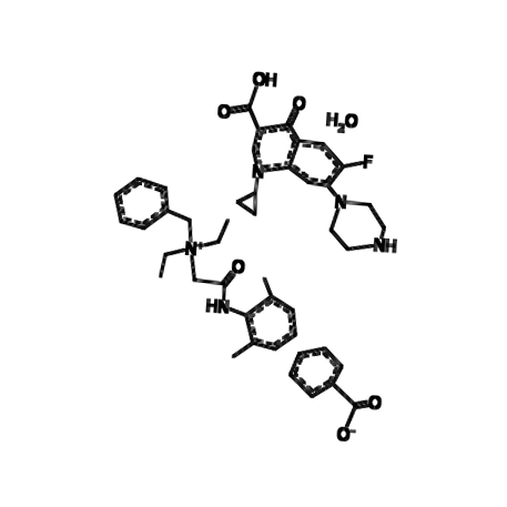 CC[N+](CC)(CC(=O)Nc1c(C)cccc1C)Cc1ccccc1.O.O=C(O)c1cn(C2CC2)c2cc(N3CCNCC3)c(F)cc2c1=O.O=C([O-])c1ccccc1